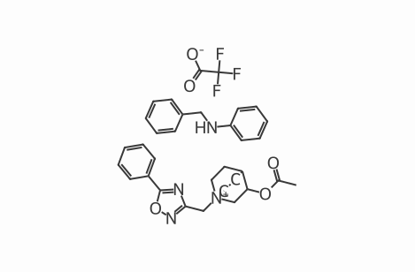 CC(=O)OC1C[N+]2(Cc3noc(-c4ccccc4)n3)CCC1CC2.O=C([O-])C(F)(F)F.c1ccc(CNc2ccccc2)cc1